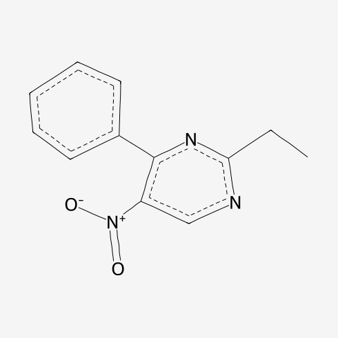 CCc1ncc([N+](=O)[O-])c(-c2ccccc2)n1